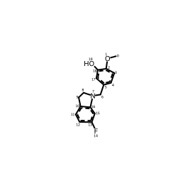 COc1ccc(CN2CCc3ccc(F)cc32)cc1O